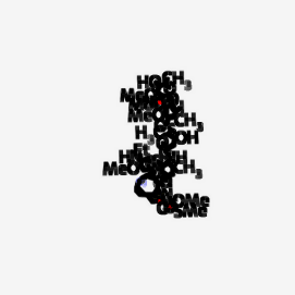 CCNC1COC(OC2C(O[C@H]3C#C/C=C\C#CC4CC(=O)C(NC(=O)OC)=C3/C4=C\CSSSC)CC(C)C(NOC3CC(O)C(SC(=O)c4c(C)c(I)c(OC5OC(C)C(O)C(OC)C5O)c(OC)c4OC)C(C)O3)C2O)CC1OC